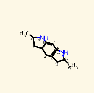 CC1CC2CC3=C(C=C2N1)NC(C)C3